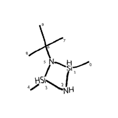 C[SiH]1N[SiH](C)N1C(C)(C)C